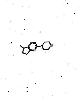 CC1CCc2nc(N3CCNCC3)ccc21